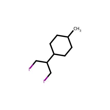 CC1CCC(C(CI)CI)CC1